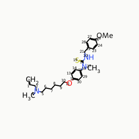 C=CCN(C)CCCCCCOc1ccc(N(C)C(=S)NCc2ccc(OC)cc2)cc1